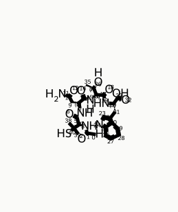 CC(=O)N[C@H](C(=O)N[C@@H](CC(N)=O)C(=O)N[C@H](C(=O)N[C@@H](Cc1c[nH]c2ccccc12)C(=O)O)[C@@H](C)O)C(C)(C)S